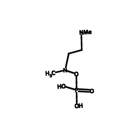 CNCCN(C)OP(=O)(O)O